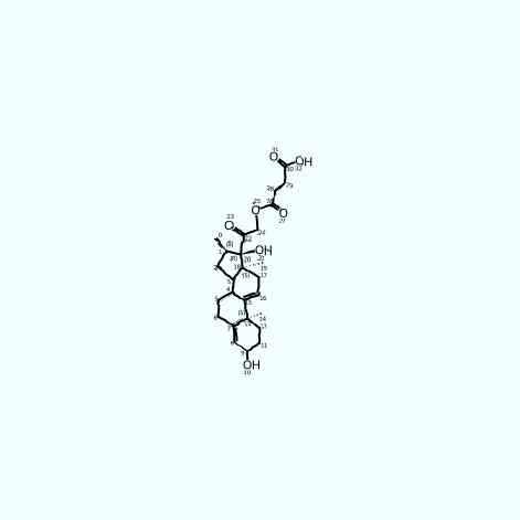 C[C@@H]1CC2C3CCC4=CC(O)CC[C@]4(C)C3=CC[C@]2(C)[C@@]1(O)C(=O)COC(=O)CCC(=O)O